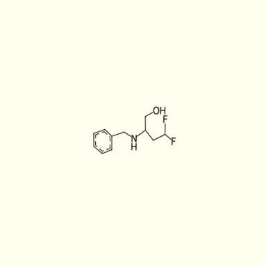 OCC(CC(F)F)NCc1ccccc1